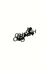 O=CN(CC(O)CNC(=O)c1ccc(Cl)s1)c1ccc(N2CCCC2)c(NC(=O)c2ccccn2)c1